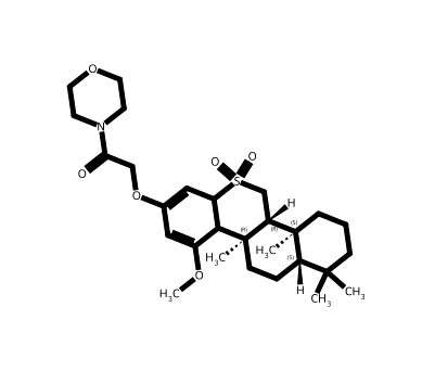 COC1=CC(OCC(=O)N2CCOCC2)=CC2C1[C@]1(C)CC[C@H]3C(C)(C)CCC[C@]3(C)[C@H]1CS2(=O)=O